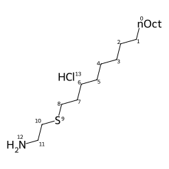 CCCCCCCCCCCCCCCCSCCN.Cl